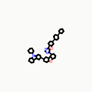 c1ccc(-c2ccc(-c3ccc4c(c3)oc3c(-c5cccc6oc7ccc(-c8ccc9c(c8)c8ccccc8n9-c8ccccc8)cc7c56)ncnc34)cc2)cc1